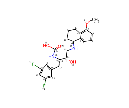 COc1cccc2c1CCCC2NC[C@H](O)[C@H](Cc1cc(F)cc(F)c1)NC(=O)O